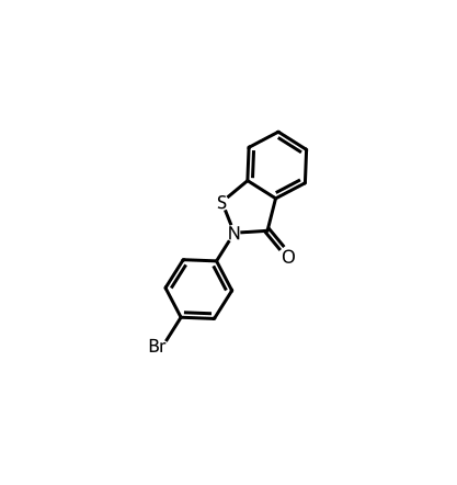 O=c1c2ccccc2sn1-c1ccc(Br)cc1